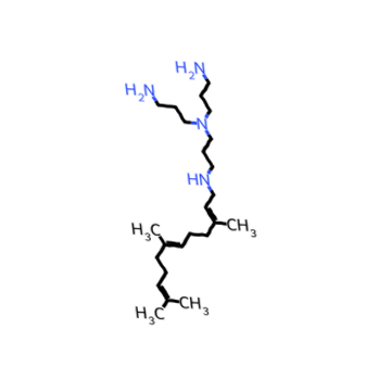 CC(C)=CCCC(C)=CCCC(C)=CCNCCCN(CCCN)CCCN